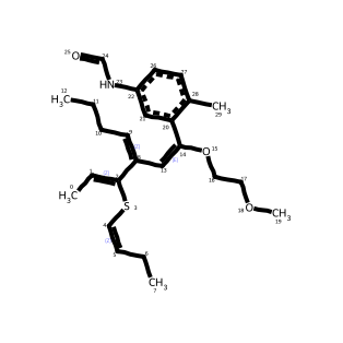 C/C=C(S/C=C\CC)/C(=C\CCC)/C=C(/OCCOC)c1cc(NC=O)ccc1C